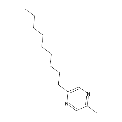 CCCCCCCCCc1cnc(C)cn1